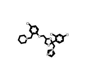 Clc1ccc(C2(Cn3ccnc3)OCC(COc3ccc(Cl)cc3CN3CCCCC3)O2)c(Cl)c1